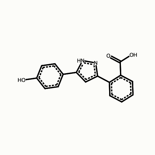 O=C(O)c1ccccc1-c1cc(-c2ccc(O)cc2)[nH]n1